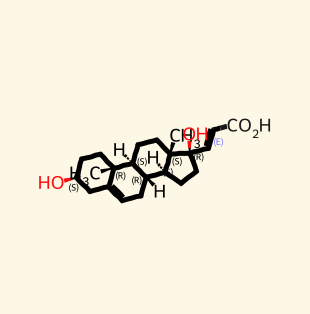 C[C@]12CC[C@H](O)CC1=CC[C@@H]1[C@@H]2CC[C@@]2(C)[C@H]1CC[C@@]2(O)/C=C/C(=O)O